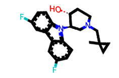 CC1(CN2CC[C@@H](O)[C@H](n3c4ccc(F)cc4c4cc(F)ccc43)C2)CC1